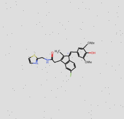 COc1cc(/C=C2/C(C)=C(CC(=O)NCc3nccs3)c3cc(F)ccc32)cc(OC)c1O